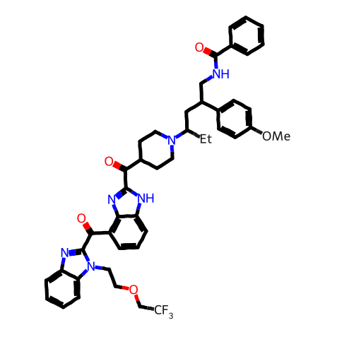 CCC(CC(CNC(=O)c1ccccc1)c1ccc(OC)cc1)N1CCC(C(=O)c2nc3c(C(=O)c4nc5ccccc5n4CCOCC(F)(F)F)cccc3[nH]2)CC1